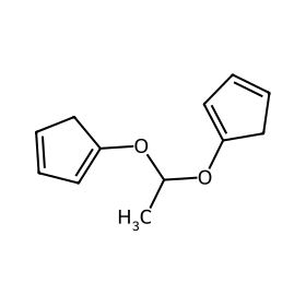 CC(OC1=CC=CC1)OC1=CC=CC1